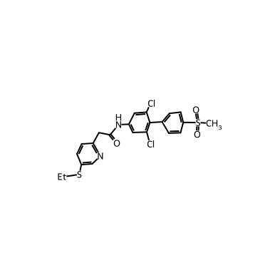 CCSc1ccc(CC(=O)Nc2cc(Cl)c(-c3ccc(S(C)(=O)=O)cc3)c(Cl)c2)nc1